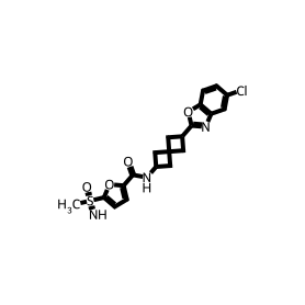 CS(=N)(=O)c1ccc(C(=O)NC2CC3(C2)CC(c2nc4cc(Cl)ccc4o2)C3)o1